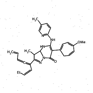 C=CC=C=C(/C=C\CC)C1=NN2C(=O)C(C3=CC=C(OC)C=CC3)=C(Nc3ccc(C)cn3)NC2C1C